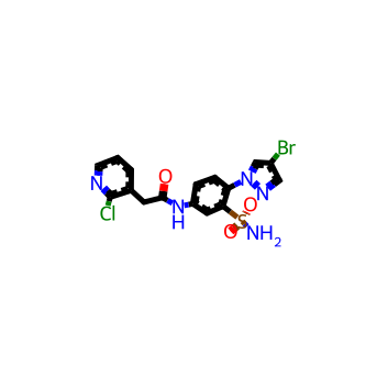 NS(=O)(=O)c1cc(NC(=O)Cc2cccnc2Cl)ccc1-n1cc(Br)cn1